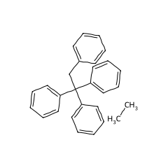 CC.c1ccc(CC(c2ccccc2)(c2ccccc2)c2ccccc2)cc1